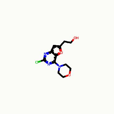 OCCc1cc2nc(Cl)nc(N3CCOCC3)c2o1